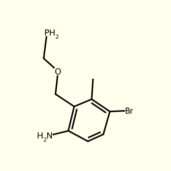 Cc1c(Br)ccc(N)c1COCP